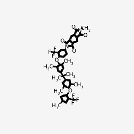 Cc1ccc(Oc2c(C)cc(C(C)(C)c3cc(C)c(Oc4ccc(-n5c(=O)c6cc7c(=O)n(C)c(=O)c7cc6c5=O)cc4C(F)(F)F)c(C)c3)cc2C)c(C(F)(F)F)c1